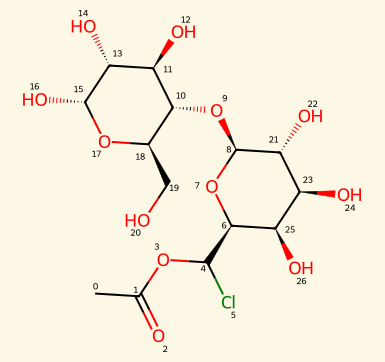 CC(=O)OC(Cl)[C@H]1O[C@@H](O[C@H]2[C@H](O)[C@@H](O)[C@@H](O)O[C@@H]2CO)[C@H](O)[C@@H](O)[C@H]1O